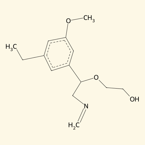 C=NCC(OCCO)c1cc(CC)cc(OC)c1